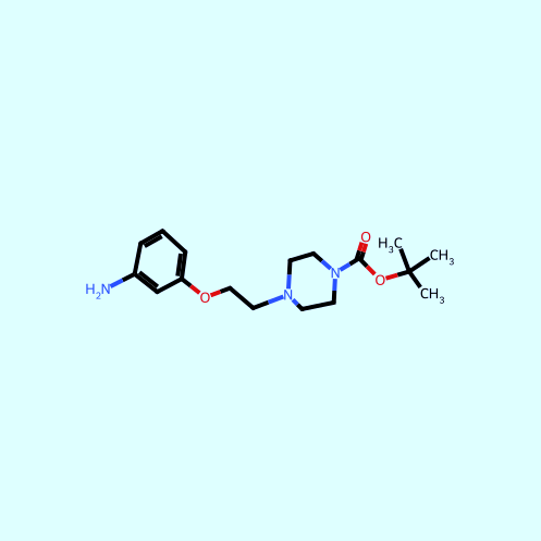 CC(C)(C)OC(=O)N1CCN(CCOc2cccc(N)c2)CC1